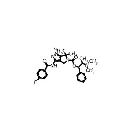 CC(C(OC(=O)N1Cc2c(NC(=O)c3ccc(F)cc3)n[nH]c2C1(C)C)c1ccccc1)N(C)C